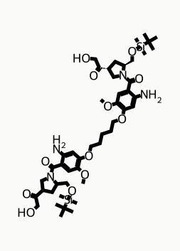 COc1cc(C(=O)N2CC(C(=O)CO)CC2CO[Si](C)(C)C(C)(C)C)c(N)cc1OCCCCCOc1cc(N)c(C(=O)N2C[C@H](C(=O)CO)C[C@H]2CO[Si](C)(C)C(C)(C)C)cc1OC